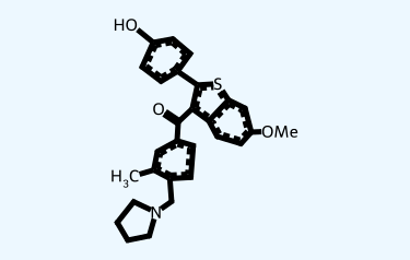 COc1ccc2c(C(=O)c3ccc(CN4CCCC4)c(C)c3)c(-c3ccc(O)cc3)sc2c1